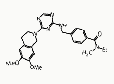 CCN(C)C(=O)c1ccc(CNc2ncnc(N3CCc4cc(OC)c(OC)cc4C3)n2)cc1